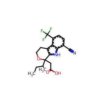 CCC(C)C1(CC(=O)O)OCCc2c1[nH]c1c(C#N)ccc(C(F)(F)F)c21